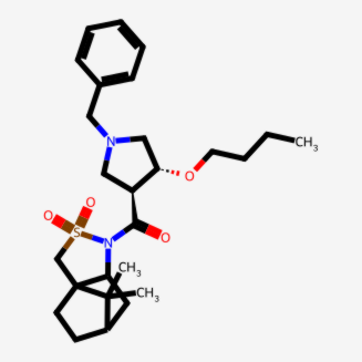 CCCCO[C@H]1CN(Cc2ccccc2)C[C@@H]1C(=O)N1C2CC3CCC2(CS1(=O)=O)C3(C)C